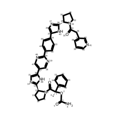 C[C@](OC(N)=O)(C(=O)N1CCC[C@H]1c1ncc(-c2cnc(-c3ccc(-c4cnc([C@@H]5CCCN5C(=O)Cc5cccnc5)[nH]4)cc3)nc2)[nH]1)c1ccccc1